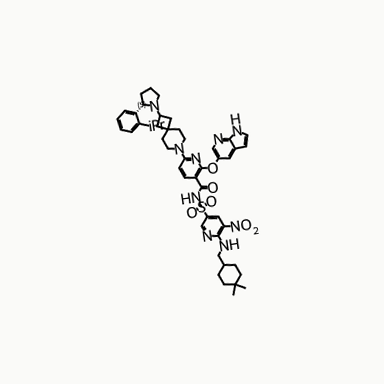 CC(C)c1ccccc1[C@@H]1CCCN1C1CC2(CCN(c3ccc(C(=O)NS(=O)(=O)c4cnc(NCC5CCC(C)(C)CC5)c([N+](=O)[O-])c4)c(Oc4cnc5[nH]ccc5c4)n3)CC2)C1